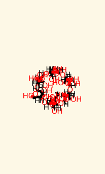 C=CC(=O)O[C@@H]1[C@@H](O)[C@H]2O[C@H]3[C@H](O)[C@@H](O)[C@@H](O[C@H]4[C@H](O)[C@@H](O)[C@@H](O[C@H]5[C@H](O)[C@@H](O)[C@@H](O[C@H]6[C@H](O)[C@@H](O)[C@@H](O[C@H]7[C@H](O)[C@@H](O)[C@@H](O[C@H]1[C@@H](CO)O2)O[C@@H]7CO)O[C@@H]6CO)O[C@@H]5CO)O[C@@H]4CO)O[C@@H]3CO